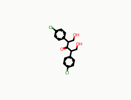 O=C(C(CO)c1ccc(Cl)cc1)C(CO)c1ccc(Cl)cc1